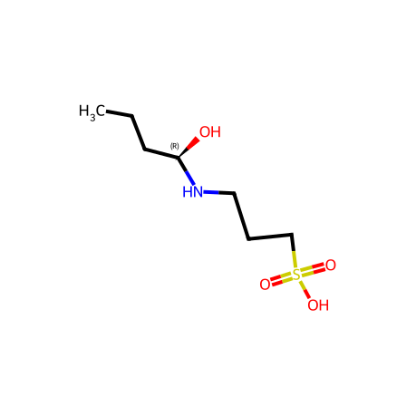 CCC[C@@H](O)NCCCS(=O)(=O)O